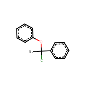 CCC(Cl)(Oc1ccccc1)c1ccccc1